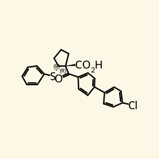 O=C(O)[C@]1(C(=O)c2ccc(-c3ccc(Cl)cc3)cc2)CCC[C@H]1Sc1ccccc1